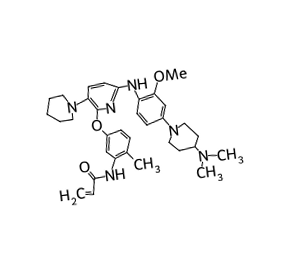 C=CC(=O)Nc1cc(Oc2nc(Nc3ccc(N4CCC(N(C)C)CC4)cc3OC)ccc2N2CCCCC2)ccc1C